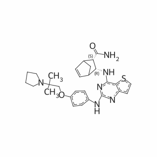 CC(C)(COc1ccc(Nc2nc(N[C@@H]3C4C=CC(C4)[C@@H]3C(N)=O)c3sccc3n2)cc1)N1CCCC1